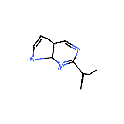 CC(C)C1=NC2NC=CC2C=N1